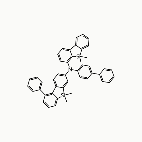 C[Si]1(C)c2cc(N(c3ccc(-c4ccccc4)cc3)c3cccc4c3[Si](C)(C)c3ccccc3-4)ccc2-c2c(-c3ccccc3)cccc21